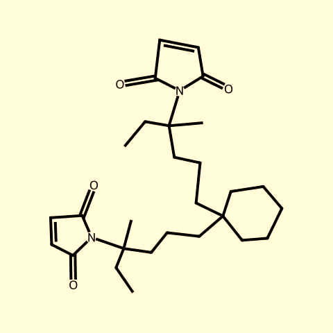 CCC(C)(CCCC1(CCCC(C)(CC)N2C(=O)C=CC2=O)CCCCC1)N1C(=O)C=CC1=O